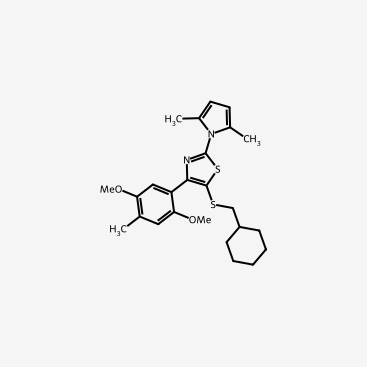 COc1cc(-c2nc(-n3c(C)ccc3C)sc2SCC2CCCCC2)c(OC)cc1C